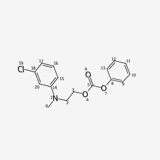 CN(CCOC(=O)Oc1ccccc1)c1cccc(Cl)c1